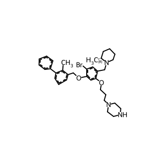 Cc1c(COc2cc(OCCCN3CCNCC3)c(CN3CCCC[C@H]3C)cc2Br)cccc1-c1ccccc1